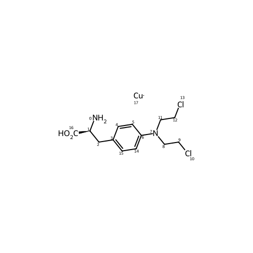 N[C@@H](Cc1ccc(N(CCCl)CCCl)cc1)C(=O)O.[Cu]